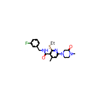 CCSc1nc(N2CCN(C)C(=O)C2)cc(C)c1C(=O)NCc1cccc(F)c1